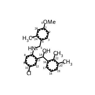 COc1ccc(CNc2ccc(Cl)cc2C(O)c2cccc(C)c2C)c(C)c1